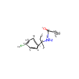 CC(C)(C)C(=O)NC(C)(C)c1ccc(F)cc1